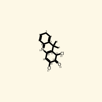 CC1(C)C2=CCC=CC2=NC2=C1C(Cl)C(=O)C(Cl)=C2